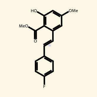 COC(=O)c1c(O)cc(OC)cc1/C=C/c1ccc(F)cc1